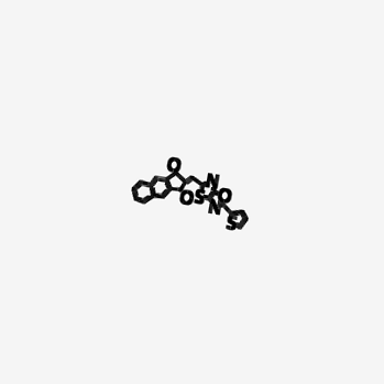 O=C1C(=Cc2nc3oc(-c4cccs4)nc3s2)C(=O)c2cc3ccccc3cc21